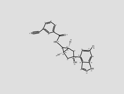 N#Cc1cccc(C(=O)NC2[C@H]3C[C@](O)(c4cc(Cl)cc5[nH]ncc45)C[C@@H]23)c1